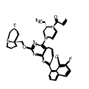 C=CC(=O)N1CCN(c2nc(OC[C@@]34CCCN3C[C@H](F)C4)nc3nc(-c4cccc5ccc(F)c(Cl)c45)ccc23)C[C@@H]1CC#N